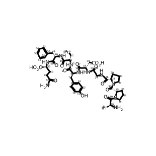 CC(C)C[C@H](NC(=O)[C@H](Cc1ccc(O)cc1)NC(=O)[C@H](CC(=O)O)NC(=O)CNC(=O)[C@@H]1CCCN1C(=O)[C@@H]1CCCN1C(=O)[C@@H](N)C(C)C)C(=O)N[C@@H](Cc1ccccc1)C(=O)N[C@@H](CCC(N)=O)C(=O)O